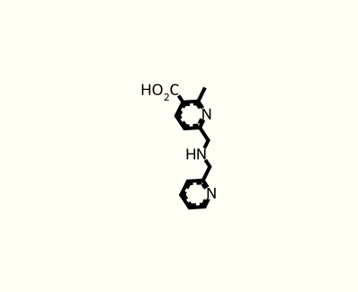 Cc1nc(CNCc2ccccn2)ccc1C(=O)O